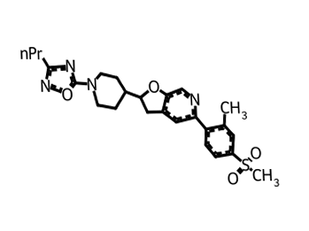 CCCc1noc(N2CCC(C3Cc4cc(-c5ccc(S(C)(=O)=O)cc5C)ncc4O3)CC2)n1